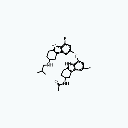 CC(=O)NC1CCc2[nH]c3c(F)cc(F)cc3c2C1.CC(C)CNC1CCc2[nH]c3c(F)cc(F)cc3c2C1